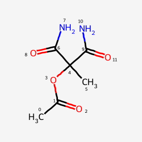 CC(=O)OC(C)(C(N)=O)C(N)=O